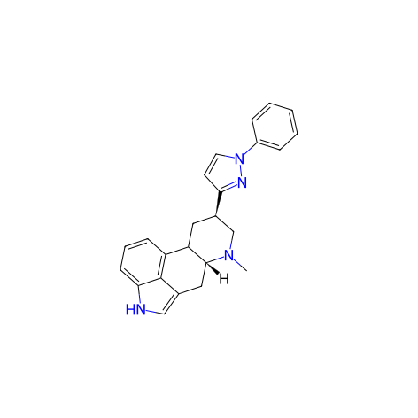 CN1C[C@H](c2ccn(-c3ccccc3)n2)CC2c3cccc4[nH]cc(c34)C[C@H]21